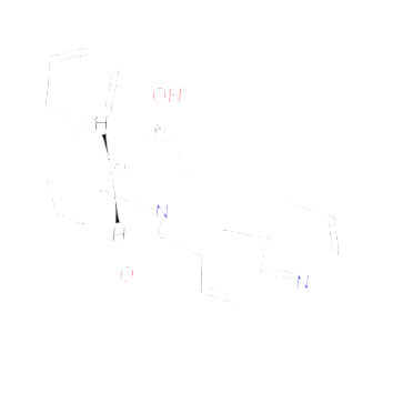 O=C(c1ccc2ncccc2c1)N1CC[C@](O)(c2ccccc2)[C@H]2CCCC[C@H]21